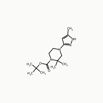 Cc1cc(N2CCN(C(=O)OC(C)(C)C)C(C)(C)C2)n[nH]1